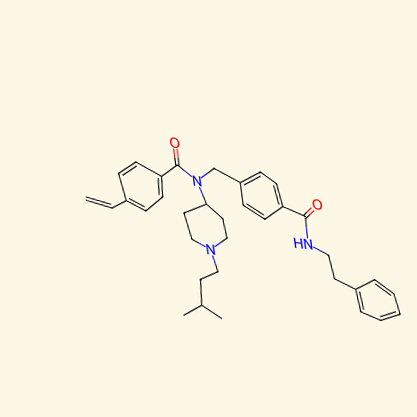 C=Cc1ccc(C(=O)N(Cc2ccc(C(=O)NCCc3ccccc3)cc2)C2CCN(CCC(C)C)CC2)cc1